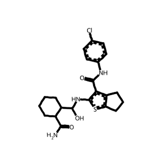 NC(=O)C1CCCCC1C(O)Nc1sc2c(c1C(=O)Nc1ccc(Cl)cc1)CCC2